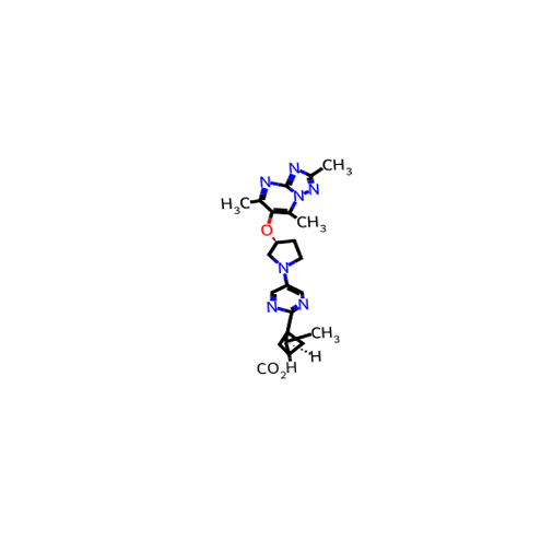 Cc1nc2nc(C)c(O[C@@H]3CCN(c4cnc(C56CC(C(=O)O)(C5)[C@@H]6C)nc4)C3)c(C)n2n1